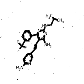 CC(C)CNc1nc(N)c(C#Cc2ccc(N)nc2)c(-c2cccc(C(F)(F)F)c2)n1